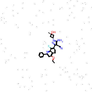 CCOc1cc(-c2ccccc2)nc2c(F)c(-c3nn([C@H]4C[C@@](C)(O)C4)c(N)c3C#N)ccc12